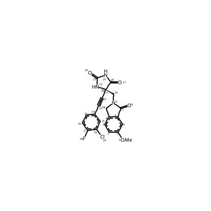 COc1ccc2c(c1)C(=O)N(C[C@@]1(C#Cc3ccc(F)c(Cl)c3)NC(=O)NC1=O)C2